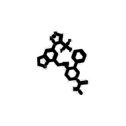 CNC(=O)N1CCC(NCc2cc(-n3nnnc3C(F)(F)F)cc3c2OCC3)C(c2ccccc2)C1